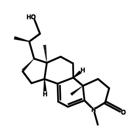 C[C@@H](CO)[C@H]1CC[C@H]2C3=CC=C4N(C)C(=O)CC[C@]4(C)[C@H]3CC[C@]12C